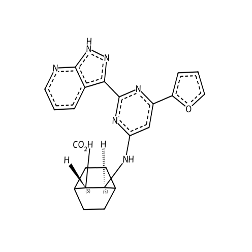 O=C(O)[C@H]1C2CCC(CC2)[C@@H]1Nc1cc(-c2ccco2)nc(-c2n[nH]c3ncccc23)n1